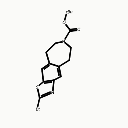 CCc1nc2cc3c(cc2s1)CCN(C(=O)OC(C)(C)C)CC3